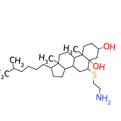 CC(C)CCCCC1CCC2C3CC(SCCN)C4(O)CC(O)CCC4(C)C3CCC12C